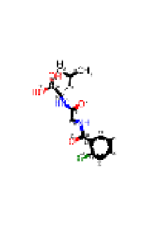 CC(C)C[C@H](NC(=O)CNC(=O)c1ccccc1Br)B(O)O